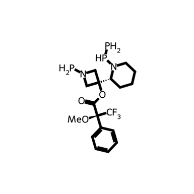 CO[C@](C(=O)OC1([C@H]2CCCCN2PP)CN(P)C1)(c1ccccc1)C(F)(F)F